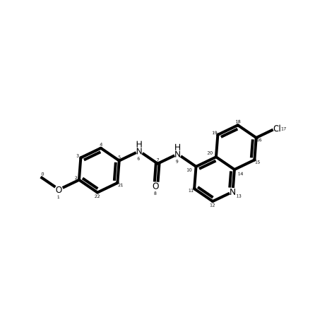 COc1ccc(NC(=O)Nc2ccnc3cc(Cl)ccc23)cc1